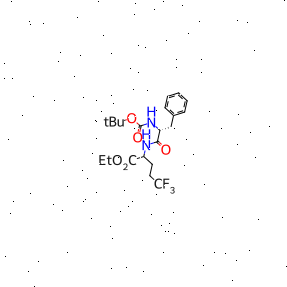 CCOC(=O)C(CCC(F)(F)F)NC(=O)[C@@H](Cc1ccccc1)NC(=O)OC(C)(C)C